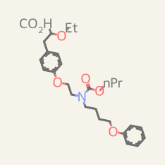 CCCOC(=O)N(CCCCOc1ccccc1)CCOc1ccc(CC(OCC)C(=O)O)cc1